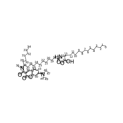 CCCCCCCCCCCCCCC(NC(=O)CCCCCCCCCCC(CCCCCC)N(C)C(=O)c1cc2ccc(N(CC)CC)cc2oc1=O)C(=O)O